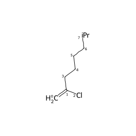 C=C(Cl)CCCCC(C)C